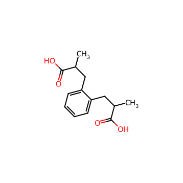 CC(Cc1ccccc1CC(C)C(=O)O)C(=O)O